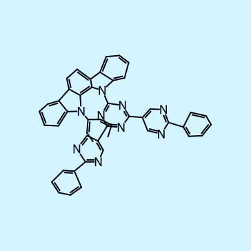 C/C=C\C(=C/C)n1c2ccccc2c2ccc3c4ccccc4n(-c4nc(-c5cnc(-c6ccccc6)nc5)nc(-c5cnc(-c6ccccc6)nc5)n4)c3c21